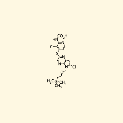 C[Si](C)(C)CCOCn1c(Cl)cc2nc(Sc3ccnc(NC(=O)O)c3Cl)cnc21